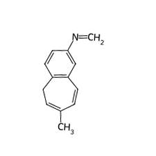 C=Nc1ccc2c(c1)C=CC(C)=CC2